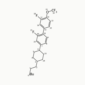 CCC(C)CCC1CCC(c2ccc(-c3ccc(OC(F)(F)F)c(F)c3)c(F)c2)CC1